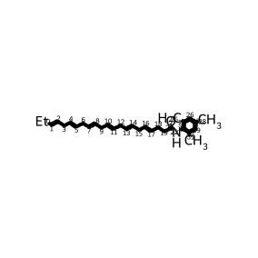 CCC=CCC=CCC=CCC=CCC=CCC=CCCC(=O)Nc1c(C)cc(C)cc1C